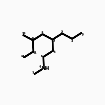 CCCC(CCNC)CC(C)CC